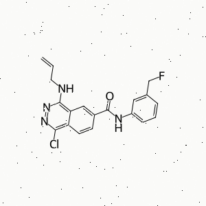 C=CCNc1nnc(Cl)c2ccc(C(=O)Nc3cccc(CF)c3)cc12